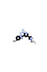 CC(C)c1ccc2[nH]c(-c3cc(-c4cnn(C)c4)cnc3N)nc2c1